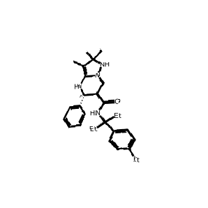 CCc1ccc(C(CC)(CC)NC(=O)C2CN3NC(C)(C)C(C)=C3N[C@H]2c2ccccc2)cc1